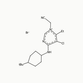 CCc1c(Cl)c(NC2CCC(C(C)(C)C)CC2)nc[n+]1CC#N.[Br-]